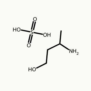 CC(N)CCO.O=S(=O)(O)O